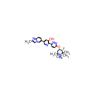 Cc1cn2cc(-c3cnc(-c4ccc(O[C@H]5CC(C)(C)NC(C)(C)[C@H]5F)nn4)c(O)c3)ccc2n1